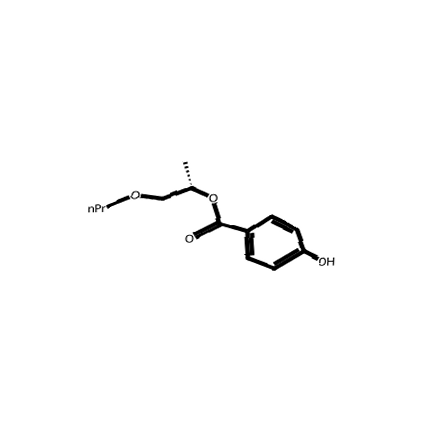 CCCOC[C@H](C)OC(=O)c1ccc(O)cc1